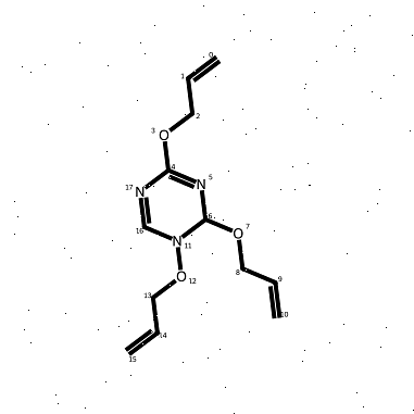 C=CCOC1=NC(OCC=C)N(OCC=C)C=N1